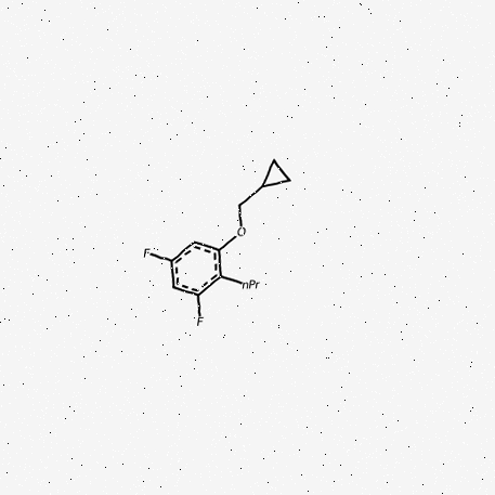 CCCc1c(F)cc(F)cc1OCC1CC1